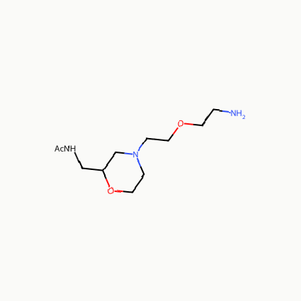 CC(=O)NCC1CN(CCOCCN)CCO1